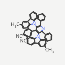 Cc1ccc2c(c1)c1ccccc1n2-c1c(-c2ccccc2)nc(-c2ccccc2)c(-n2c3ccccc3c3cc(C)ccc32)c1-c1ccc(C#N)c(C#N)c1